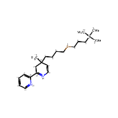 CO[Si](CCCSCCCCC1(C)C=CN=C(c2ccccn2)C1)(OC)OC